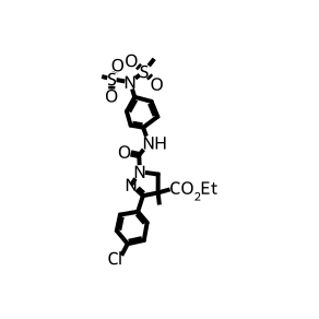 CCOC(=O)C1(C)CN(C(=O)Nc2ccc(N(S(C)(=O)=O)S(C)(=O)=O)cc2)N=C1c1ccc(Cl)cc1